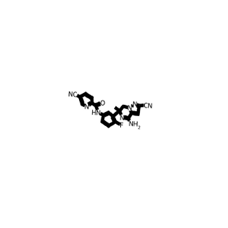 CC1(c2cc(NC(=O)c3ccc(C#N)cn3)ccc2F)Cn2nc(C#N)cc2C(N)=N1